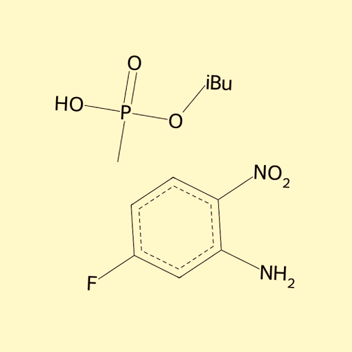 CCC(C)OP(C)(=O)O.Nc1cc(F)ccc1[N+](=O)[O-]